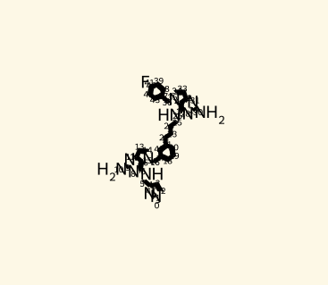 Cn1ccc(CNc2nc(N)nc3ccn(Cc4cccc(CCCCNc5nc(N)nc6ccn(Cc7ccc(F)cc7)c56)c4)c23)n1